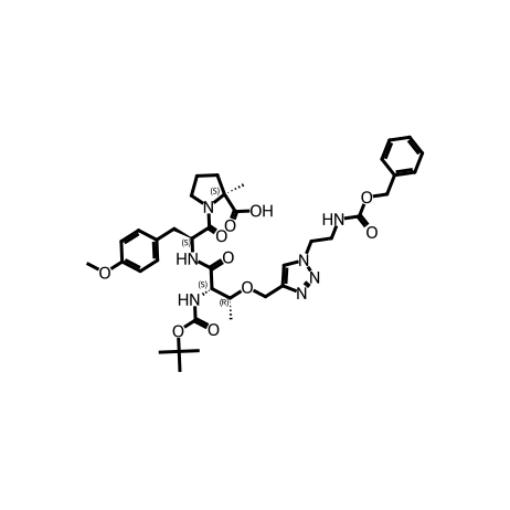 COc1ccc(C[C@H](NC(=O)[C@@H](NC(=O)OC(C)(C)C)[C@@H](C)OCc2cn(CCNC(=O)OCc3ccccc3)nn2)C(=O)N2CCC[C@@]2(C)C(=O)O)cc1